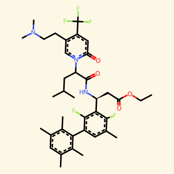 CCOC(=O)C[C@H](NC(=O)C(CC(C)C)n1cc(CCN(C)C)c(C(F)(F)F)cc1=O)c1c(F)c(C)cc(-c2c(C)c(C)cc(C)c2C)c1F